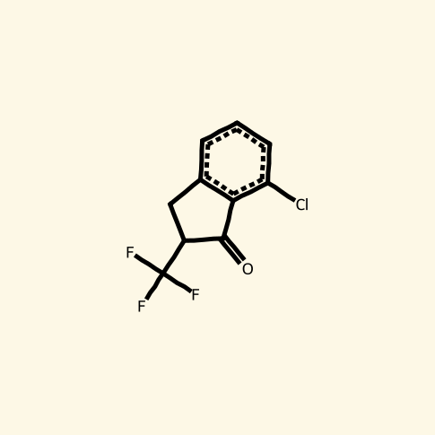 O=C1c2c(Cl)cccc2CC1C(F)(F)F